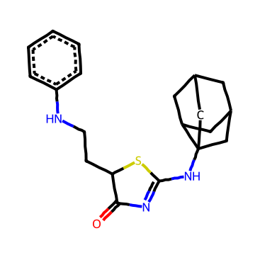 O=C1N=C(NC23CC4CC(CC2C4)C3)SC1CCNc1ccccc1